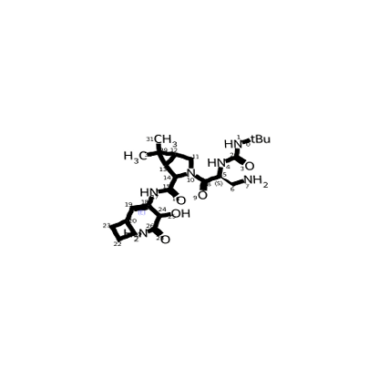 CC(C)(C)NC(=O)N[C@@H](CN)C(=O)N1CC2C(C1C(=O)N/C(=C/C1CCC1)C(O)C(N)=O)C2(C)C